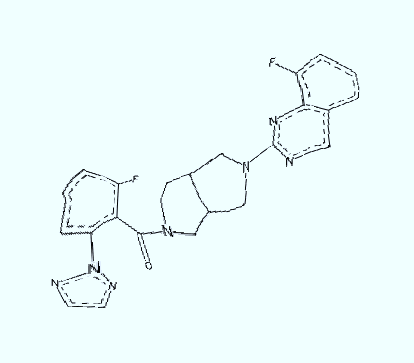 O=C(c1c(F)cccc1-n1nccn1)N1CC2CN(c3ncc4cccc(F)c4n3)CC2C1